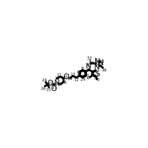 Cc1sc2c(c1C)C(c1ccc(CCCOC3CCN(C(=O)OC(C)(C)C)CC3)cc1)=N[C@@H](C)c1nnc(C)n1-2